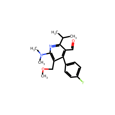 COCc1c(N(C)C)nc(C(C)C)c(C=O)c1-c1ccc(F)cc1